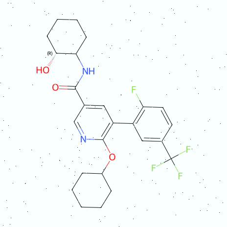 O=C(NC1CCCC[C@H]1O)c1cnc(OC2CCCCC2)c(-c2cc(C(F)(F)F)ccc2F)c1